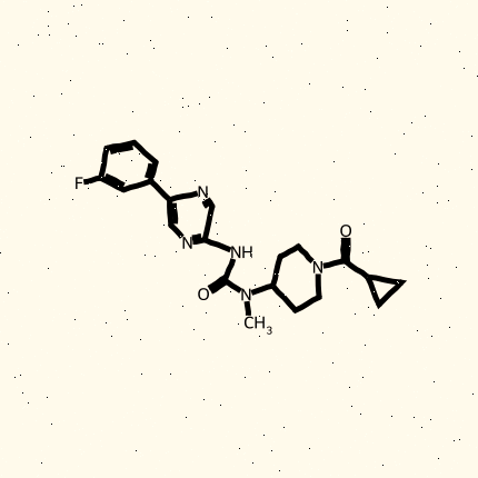 CN(C(=O)Nc1cnc(-c2cccc(F)c2)cn1)C1CCN(C(=O)C2CC2)CC1